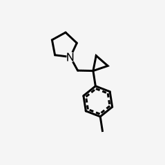 Cc1ccc(C2(CN3CCCC3)CC2)cc1